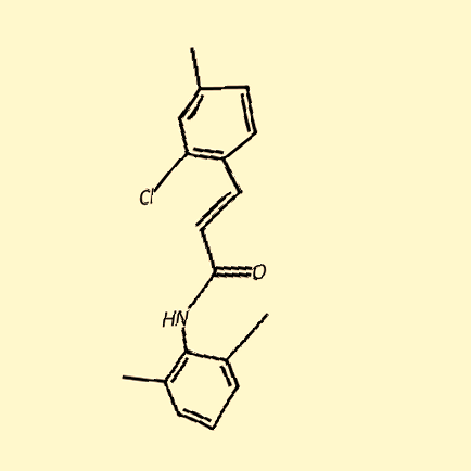 Cc1ccc(C=CC(=O)Nc2c(C)cccc2C)c(Cl)c1